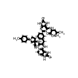 CC(C)CC(Nc1ncnc2[nH]c(=O)[nH]c12)C(=O)O.CC1CCC(N2CCC(C#N)(NC(=O)C(CC3CCCCC3)Nc3ncnc4[nH]c(=O)[nH]c34)C2)CC1